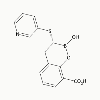 O=C(O)c1cccc2c1OB(O)[C@@H](Sc1cccnc1)C2